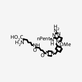 CCCCCNc1nc(N)nc2ccn(Cc3cc(CN4CCN(C(=O)CCCC(=O)NCCCCC(N)C(=O)O)CC4)ccc3OC)c12